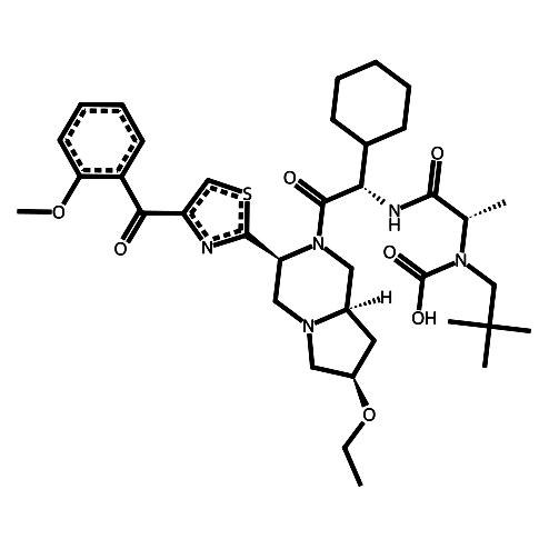 CCO[C@@H]1C[C@@H]2CN(C(=O)[C@@H](NC(=O)[C@H](C)N(CC(C)(C)C)C(=O)O)C3CCCCC3)[C@H](c3nc(C(=O)c4ccccc4OC)cs3)CN2C1